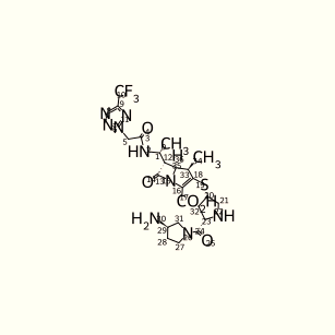 C[C@@H](NC(=O)Cn1nnc(C(F)(F)F)n1)[C@H]1C(=O)N2C(C(=O)O)=C(S[C@@H]3CN[C@H](C(=O)N4CC[C@@H](N)C4)C3)[C@H](C)[C@H]12